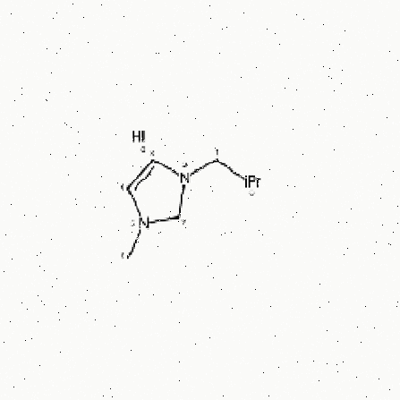 CC(C)CN1C=CN(C)C1.I